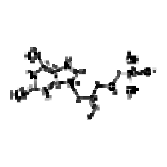 C/C=C(/COCP(=O)(O)O)Cn1cnc2c(N)nc(N)nc21